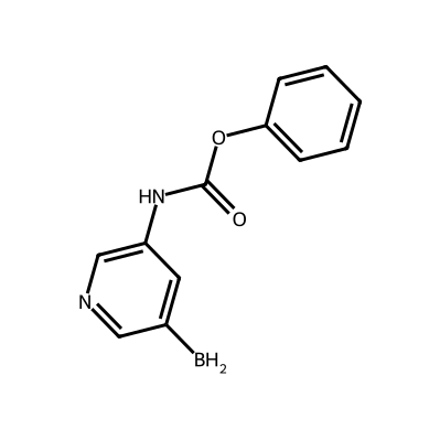 Bc1cncc(NC(=O)Oc2ccccc2)c1